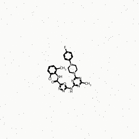 Cc1nc(Nc2nnc(C(=O)Nc3c(C)cccc3Cl)o2)nc(N2CCN(c3ccc(F)cc3)CC2)n1